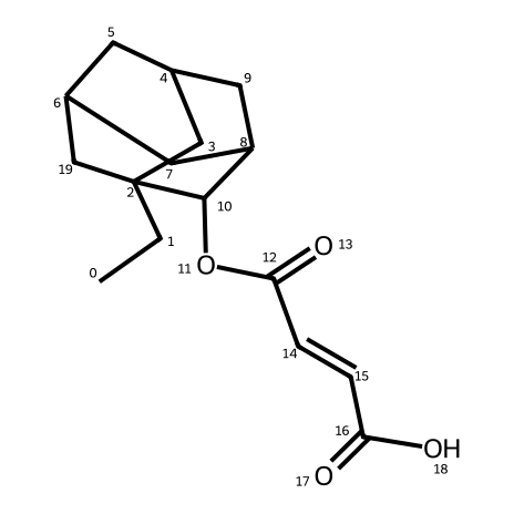 CCC12CC3CC(CC(C3)C1OC(=O)C=CC(=O)O)C2